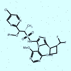 COc1ncnc(OC)c1-n1c(NS(=O)(=O)[C@@H](C)[C@@H](OC(C)C)c2ncc(Cl)cn2)nnc1[C@@H]1CC[C@@H]1C(F)F